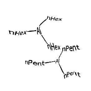 CCCCC[CH2][Al]([CH2]CCCCC)[CH2]CCCCC.CCCC[CH2][Al]([CH2]CCCC)[CH2]CCCC